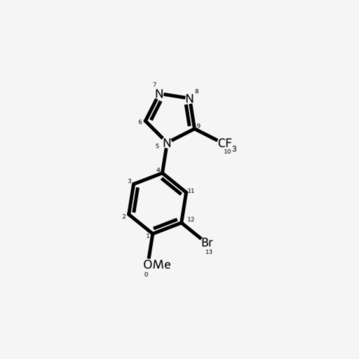 COc1ccc(-n2cnnc2C(F)(F)F)cc1Br